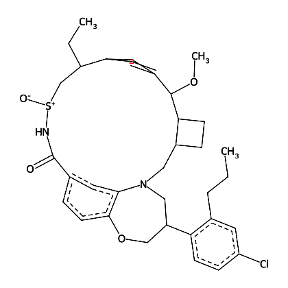 CCCc1cc(Cl)ccc1C1COc2ccc3cc2N(C1)CC1CCC1C(OC)C1=CC(C1)C(CC)C[S+]([O-])NC3=O